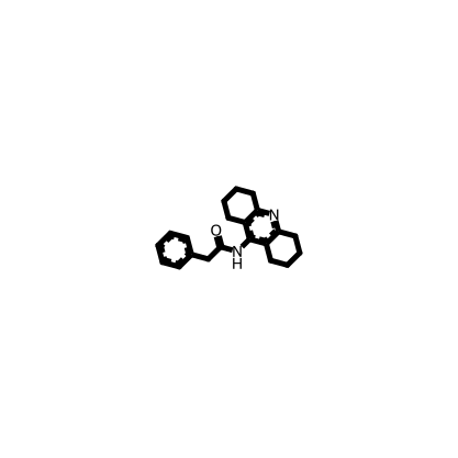 O=C(Cc1ccccc1)Nc1c2c(nc3c1CCCC3)CCCC2